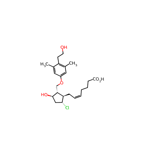 Cc1cc(OC[C@@H]2[C@@H](C/C=C\CCCC(=O)O)[C@H](Cl)C[C@H]2O)cc(C)c1CCO